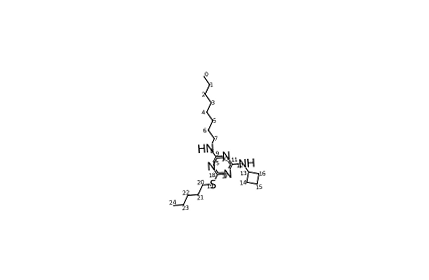 CCCCCCCCNc1nc(NC2CCC2)nc(SCCCCC)n1